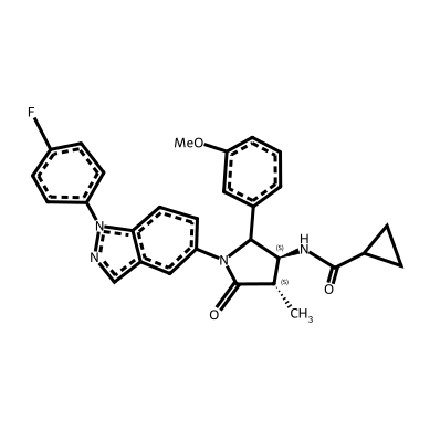 COc1cccc(C2[C@@H](NC(=O)C3CC3)[C@H](C)C(=O)N2c2ccc3c(cnn3-c3ccc(F)cc3)c2)c1